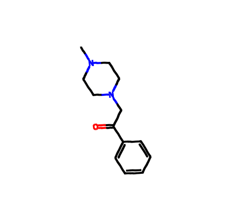 CN1CCN(CC(=O)c2ccccc2)CC1